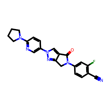 N#Cc1ccc(N2Cc3nn(-c4ccc(N5CCCC5)nc4)cc3C2=O)cc1F